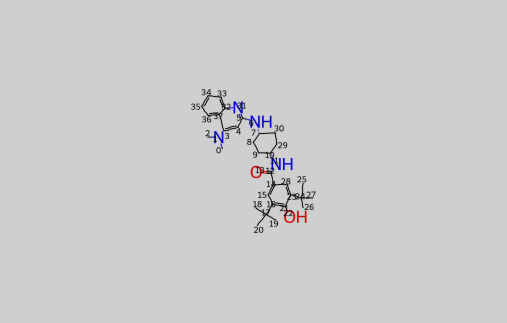 CN(C)c1cc(N[C@H]2CC[C@@H](NC(=O)c3cc(C(C)(C)C)c(O)c(C(C)(C)C)c3)CC2)nc2ccccc12